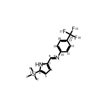 C[Si](C)(C)c1ccc(/C=N/c2ccc(C(F)(F)F)cc2)[nH]1